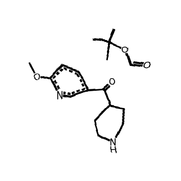 CC(C)(C)OC=O.COc1ccc(C(=O)C2CCNCC2)cn1